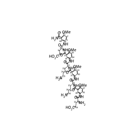 COc1ccc(NC(=O)[C@H](CCC(=O)O)NC(=O)c2cc(NC(=O)[C@H](CCCCN)NC(=O)c3cc(NC(=O)[C@H](CCCCN)NC(=O)c4cc(NC(=O)[C@@H](N)CCC(=O)O)ccc4OC)ccc3OC)ccc2OC)cc1C(N)=O